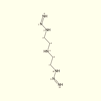 N=NNCCNCCNN=N